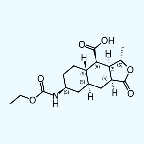 CCOC(=O)N[C@H]1CC[C@H]2[C@H](C1)C[C@@H]1C(=O)O[C@@H](C)[C@@H]1[C@@H]2C(=O)O